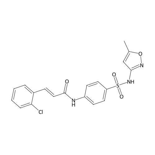 Cc1cc(NS(=O)(=O)c2ccc(NC(=O)/C=C/c3ccccc3Cl)cc2)no1